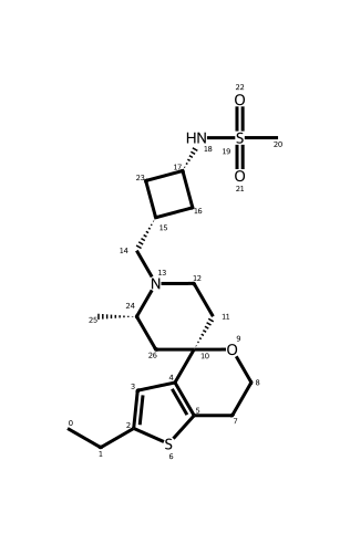 CCc1cc2c(s1)CCO[C@@]21CCN(C[C@H]2C[C@@H](NS(C)(=O)=O)C2)[C@@H](C)C1